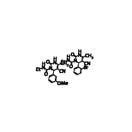 CCNC(=O)N1C(=O)NC(C)=C(C#N)C1c1cccc(OC)c1.CCNC(=O)N1C(=O)NC(C)=C(C#N)C1c1ccccc1Br